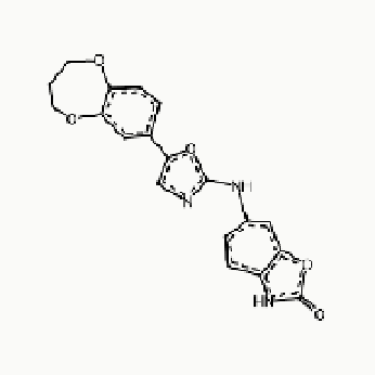 O=c1[nH]c2ccc(Nc3ncc(-c4ccc5c(c4)OCCCO5)o3)cc2o1